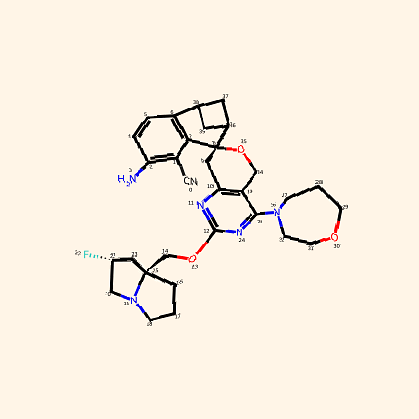 N#Cc1c(N)ccc2c1[C@]1(Cc3nc(OC[C@@]45CCCN4C[C@H](F)C5)nc(N4CCCOCC4)c3CO1)C1CC2C1